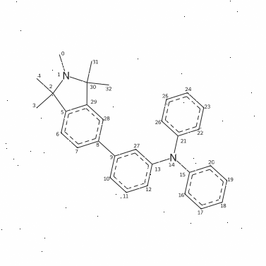 CN1C(C)(C)c2ccc(-c3cccc(N(c4ccccc4)c4ccccc4)c3)cc2C1(C)C